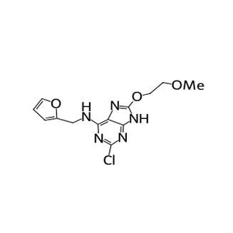 COCCOc1nc2c(NCc3ccco3)nc(Cl)nc2[nH]1